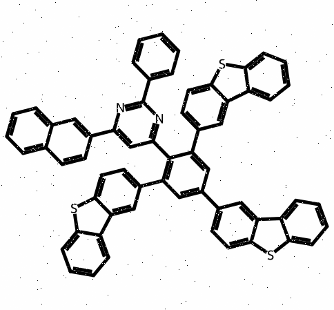 c1ccc(-c2nc(-c3ccc4ccccc4c3)cc(-c3c(-c4ccc5sc6ccccc6c5c4)cc(-c4ccc5sc6ccccc6c5c4)cc3-c3ccc4sc5ccccc5c4c3)n2)cc1